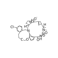 CO[C@@H]1C2=CC(C2)[C@H](C)N(C)S(=O)(=O)NC(=O)c2ccc3c(c2)N(Cc2ccc(Cl)cc2CCCCO3)C[C@@H]2CC[C@H]21